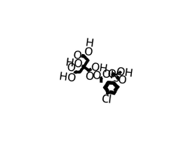 CC(=O)O.O=C(O)CC(O)(CC(=O)O)C(=O)O.O=S(=O)(O)c1ccc(Cl)cc1